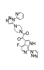 O=C(C(=O)N1CCN(c2cnnn2-c2ccccn2)CC1)c1c[nH]c2c(-n3ccnn3)ncc(F)c12